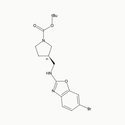 CC(C)(C)OC(=O)N1CC[C@H](CNc2nc3ccc(Br)cc3o2)C1